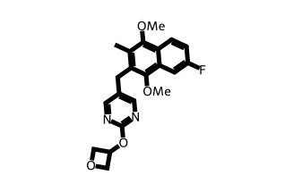 COc1c(C)c(Cc2cnc(OC3COC3)nc2)c(OC)c2cc(F)ccc12